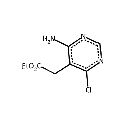 CCOC(=O)Cc1c(N)ncnc1Cl